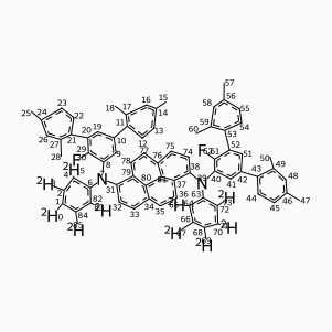 [2H]c1c([2H])c([2H])c(N(c2cc(-c3ccc(C)cc3C)cc(-c3ccc(C)cc3C)c2F)c2ccc3ccc4c(N(c5cc(-c6ccc(C)cc6C)cc(-c6ccc(C)cc6C)c5F)c5c([2H])c([2H])c([2H])c([2H])c5[2H])ccc5ccc2c3c54)c([2H])c1[2H]